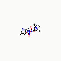 Cc1cncc(C(=O)NC[C@@H]2C[C@H]3CC[C@@H](C2)N3CC(=O)NC(C)(C)C)c1